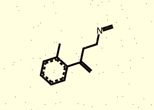 C=NCCC(=C)c1ccccc1C